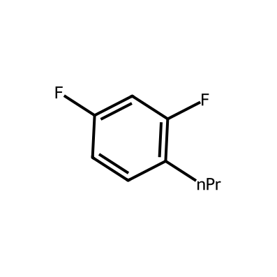 CCCc1ccc(F)cc1F